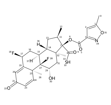 Cc1cc(C(=O)O[C@]2(C(=O)S)[C@H](C)C[C@H]3[C@@H]4C[C@H](F)C5=CC(=O)C=C[C@]5(C)[C@@]4(F)[C@@H](O)C[C@@]32C)no1